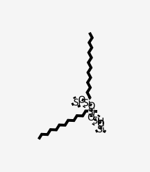 CCCCCCCCCCCCCC[Si](C)(O[Si](C)(C)C)O[Si](C)(CCCCCCCCCCCC)O[Si](C)(C)O[SiH](C)C